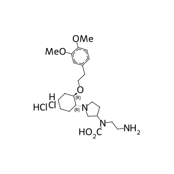 COc1ccc(CCO[C@@H]2CCCC[C@H]2N2CCC(N(CCN)C(=O)O)C2)cc1OC.Cl.Cl